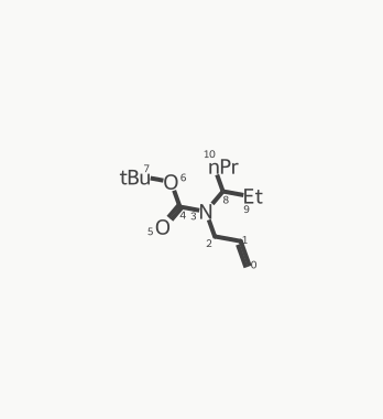 C=CCN(C(=O)OC(C)(C)C)C(CC)CCC